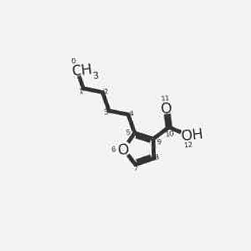 CCCCCc1occc1C(=O)O